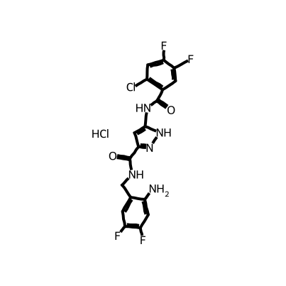 Cl.Nc1cc(F)c(F)cc1CNC(=O)c1cc(NC(=O)c2cc(F)c(F)cc2Cl)[nH]n1